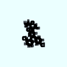 CN(C)c1c(C(=O)C(C)(C)C)oc2nc(-c3ccccc3Cl)c(-c3ccc(Cl)cc3)cc12